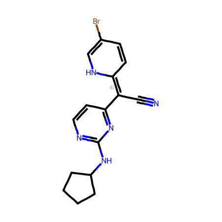 N#C/C(=C1\C=CC(Br)=CN1)c1ccnc(NC2CCCC2)n1